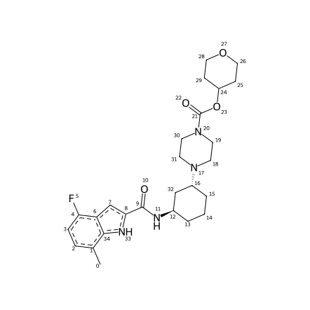 Cc1ccc(F)c2cc(C(=O)N[C@@H]3CCC[C@@H](N4CCN(C(=O)OC5CCOCC5)CC4)C3)[nH]c12